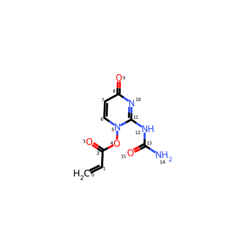 C=CC(=O)On1ccc(=O)nc1NC(N)=O